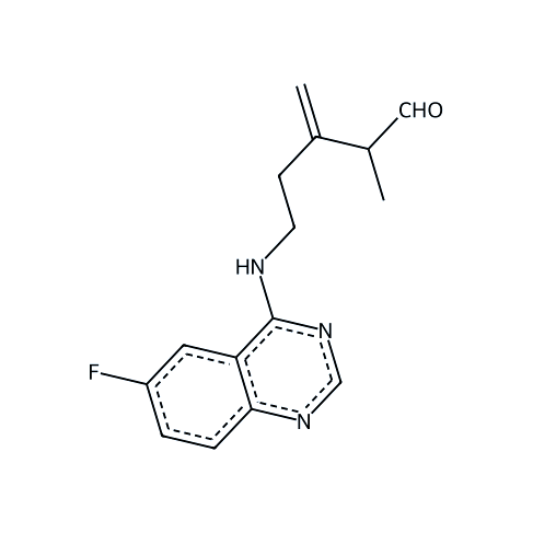 C=C(CCNc1ncnc2ccc(F)cc12)C(C)C=O